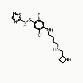 Fc1cc(NCCCCNCC2CCN2)c(Cl)cc1SNc1ncns1